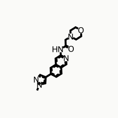 Cn1cc(-c2ccc3cnc(NC(=O)CN4CCOCC4)cc3c2)cn1